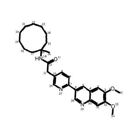 COc1cc2cc(-c3ccc(CC(=O)NC4(C)CCCCCCCCC4)cn3)cnc2cc1OC